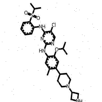 Cc1cc(Nc2ncc(Cl)c(Nc3ccccc3S(=O)(=O)C(C)C)n2)c(OC(C)C)cc1C1CCN(C2CNC2)CC1